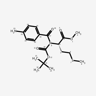 COC(=O)[C@H](CCSC)N(C(=O)OC(C)(C)C)C(=O)c1ccc(N)cc1